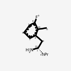 CCC[C@H](N)Cc1cccc(F)c1C